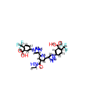 CCNC(=O)c1cc(-c2cn(-c3ccc(C(F)(F)F)c(C(=O)O)c3)nn2)nc(-c2cn(-c3ccc(C(F)(F)F)c(C(=O)O)c3)nn2)c1